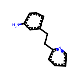 Nc1cccc(CCc2ccccn2)c1